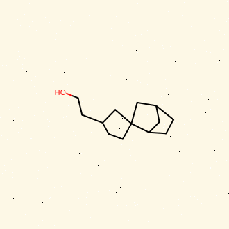 OCCC1CCC2(C1)CC1CCC2C1